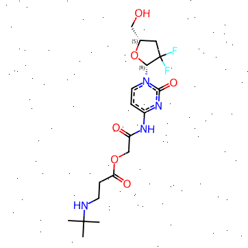 CC(C)(C)NCCC(=O)OCC(=O)Nc1ccn([C@@H]2O[C@H](CO)CC2(F)F)c(=O)n1